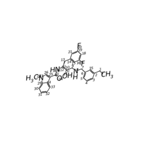 CCc1cccc(CNC[C@H](O)[C@H](Cc2cc(F)cc(F)c2)NC(=O)c2cn(C)c3ccccc23)c1